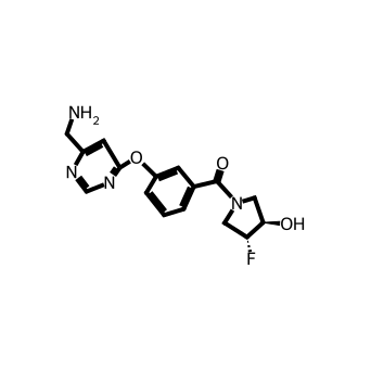 NCc1cc(Oc2cccc(C(=O)N3C[C@@H](O)[C@H](F)C3)c2)ncn1